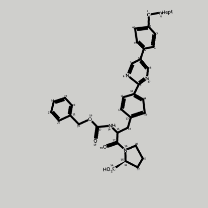 CCCCCCCOc1ccc(-c2cnc(-c3ccc(CC(NC(=O)OCc4ccccc4)C(=O)N4CCC[C@H]4C(=O)O)cc3)nc2)cc1